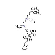 CC(C)=CCC/C(C)=C/CC/C(C)=C/CSC[C@H](NC(=O)CCC1CC=CS1)C(=O)O